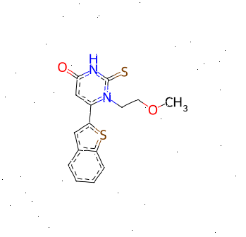 COCCn1c(-c2cc3ccccc3s2)cc(=O)[nH]c1=S